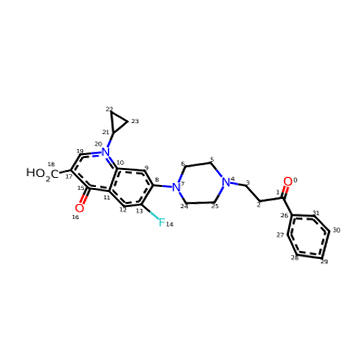 O=C(CCN1CCN(c2cc3c(cc2F)c(=O)c(C(=O)O)cn3C2CC2)CC1)c1ccccc1